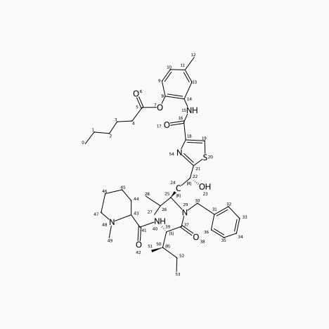 CCCCCC(=O)Oc1ccc(C)cc1NC(=O)c1csc([C@H](O)C[C@H](C(C)C)N(Cc2ccccc2)C(=O)[C@@H](NC(=O)C2CCCCN2C)[C@H](C)CC)n1